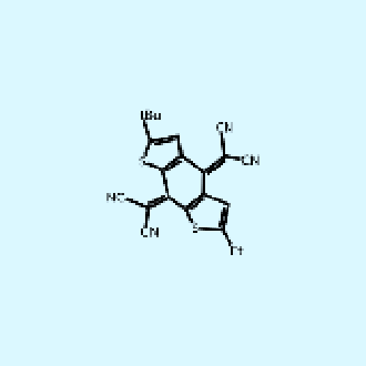 CCc1cc2c(=C(C#N)C#N)c3cc(C(C)(C)C)sc3c(=C(C#N)C#N)c2s1